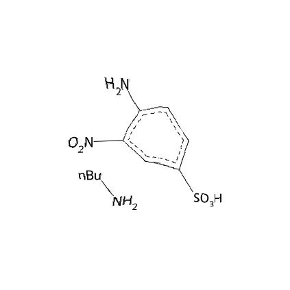 CCCCN.Nc1ccc(S(=O)(=O)O)cc1[N+](=O)[O-]